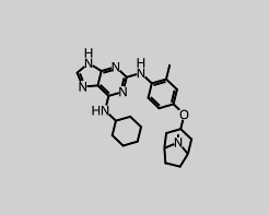 Cc1cc(OC2CC3CCC(C2)N3C)ccc1Nc1nc(NC2CCCCC2)c2nc[nH]c2n1